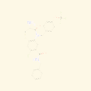 N[C@H]1CSc2cc(F)c(C(=O)NCc3ccccc3)cc2N(Cc2ccc(OC(F)(F)F)cc2)C1=O